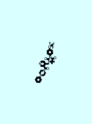 CC1(C)C(=O)N(c2ccc(OC(F)(F)F)cc2)C(=O)N1Cc1ccncc1C(=O)N1CCN(c2ccccc2)CC1